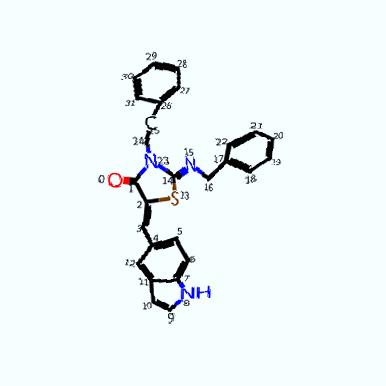 O=C1/C(=C/c2ccc3[nH]ccc3c2)S/C(=N\Cc2ccccc2)N1CCc1ccccc1